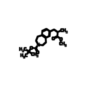 COC(=O)[C@H](C)Cc1ccc2c(c1)CCN(C(=O)OC(C)(C)C)CC2